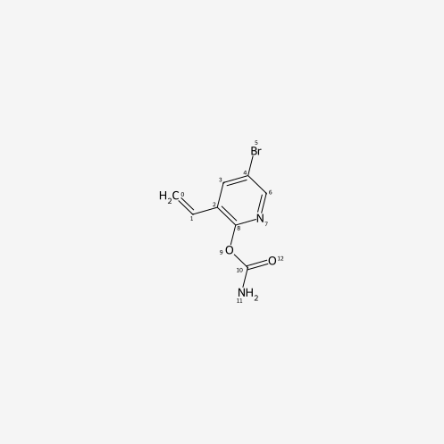 C=Cc1cc(Br)cnc1OC(N)=O